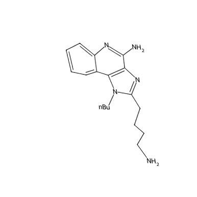 CCCCn1c(CCCCN)nc2c(N)nc3ccccc3c21